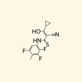 Cc1c(F)cc(NC(=S)C(C#N)=C(O)C2CC2)c(F)c1F